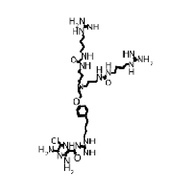 N=C(N)NCCCCNC(=O)NCCCN(CCCNC(=O)NCCCCNC(=N)N)CCOc1ccc(CCCCNC(=N)NC(=O)c2nc(Cl)c(N)nc2N)cc1